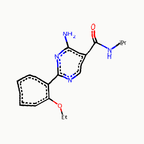 CCOc1ccccc1-c1ncc(C(=O)NC(C)C)c(N)n1